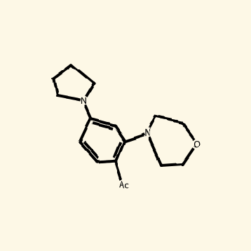 CC(=O)c1ccc(N2CCCC2)cc1N1CCOCC1